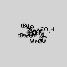 COC(=O)OC(C)CN[C@@H](Cc1ccc(OC(=O)CC(C)(C)C)c(OC(=O)CC(C)(C)C)c1)C(=O)O